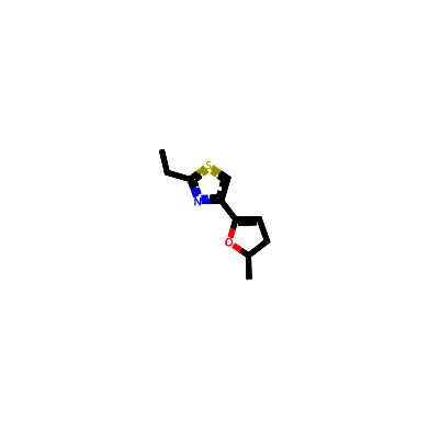 CCc1nc(C2=CCC(C)O2)cs1